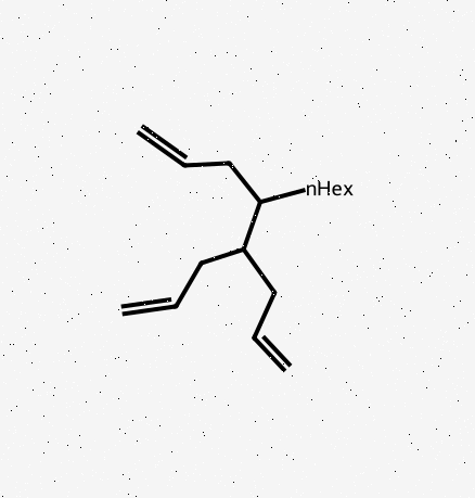 C=CC[C](CC=C)C(CC=C)CCCCCC